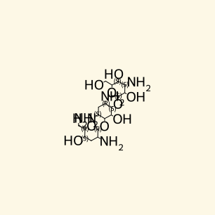 NC[C@H]1O[C@H](OC2C(O)[C@@H](O[C@H]3OC(CO)[C@@H](O)[C@H](N)C3O)[C@H](N)C[C@@H]2N)C(N)C[C@@H]1O